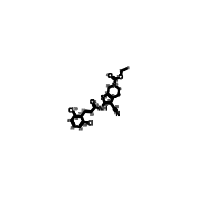 CCOC(=O)N1CCc2c(sc(NC(=O)C=Cc3c(Cl)cccc3Cl)c2C#N)C1